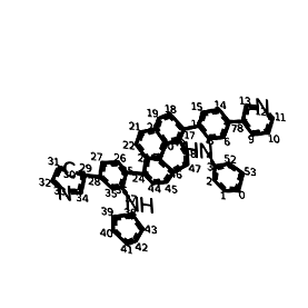 c1ccc(Nc2cc(-c3cccnc3)ccc2-c2ccc3ccc4c(-c5ccc(-c6cccnc6)cc5Nc5ccccc5)ccc5ccc2c3c54)cc1